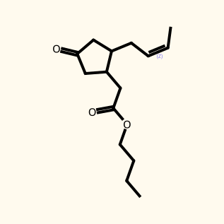 C/C=C\CC1CC(=O)CC1CC(=O)OCCCC